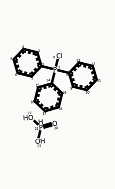 Cl[P](c1ccccc1)(c1ccccc1)c1ccccc1.O=[PH](O)O